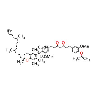 C=C(C)Oc1ccc(CCC(=O)CC(=O)CCc2ccc(C(CC(=O)O)(C(=O)O)c3c(C)c(C)c4c(c3C)CCC(C)(CCCC(C)CCCC(C)CCCC(C)C)O4)c(OC)c2)cc1OC